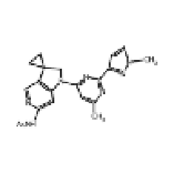 CC(=O)Nc1cc2c(cn1)C1(CC1)CN2c1cc(C)nc(-c2ccn(C)n2)n1